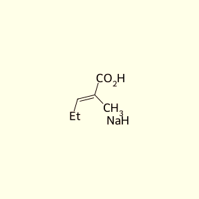 CCC=C(C)C(=O)O.[NaH]